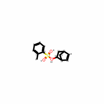 Cc1ccccc1S(=O)(=O)OC1CC2C=CC1C2